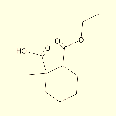 CCOC(=O)C1CCCCC1(C)C(=O)O